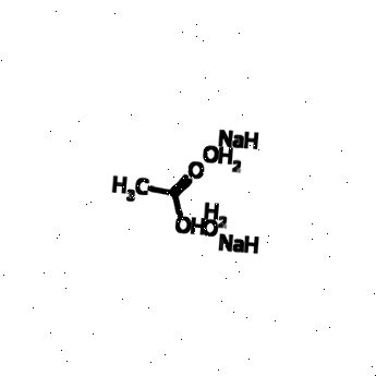 CC(=O)O.O.O.[NaH].[NaH]